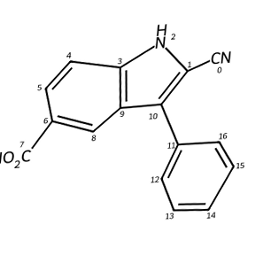 N#Cc1[nH]c2ccc(C(=O)O)cc2c1-c1ccccc1